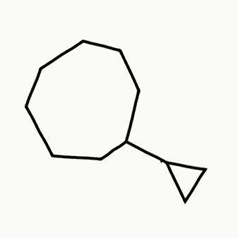 C1CCCC([C]2CC2)CCC1